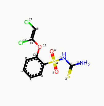 NC(=S)NS(=O)(=O)c1ccccc1OC(Cl)=CCl